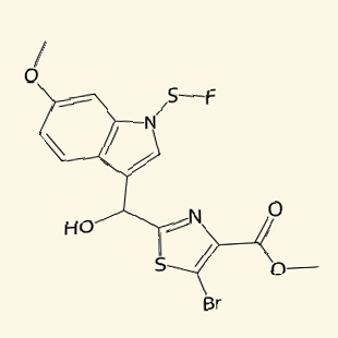 COC(=O)c1nc(C(O)c2cn(SF)c3cc(OC)ccc23)sc1Br